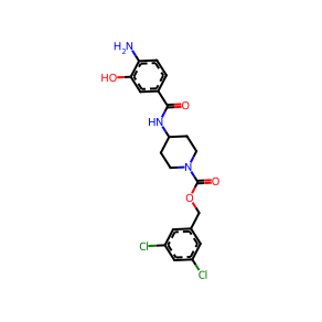 Nc1ccc(C(=O)NC2CCN(C(=O)OCc3cc(Cl)cc(Cl)c3)CC2)cc1O